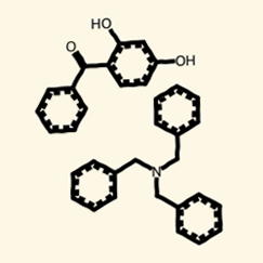 O=C(c1ccccc1)c1ccc(O)cc1O.c1ccc(CN(Cc2ccccc2)Cc2ccccc2)cc1